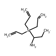 [CH2]CC(N)[Si](CC=C)(CC=C)CC=C